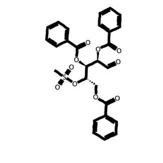 CS(=O)(=O)O[C@@H](COC(=O)c1ccccc1)[C@@H](OC(=O)c1ccccc1)[C@H](C=O)OC(=O)c1ccccc1